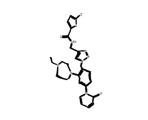 CCN1CCN(c2cc(-n3ccccc3=O)ccc2-n2cc(CNC(=O)c3ccc(Cl)s3)nn2)CC1